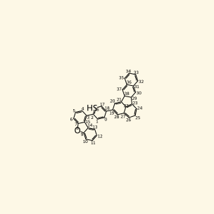 C1=CC(c2cccc3oc4ccccc4c23)=[SH]C=C1c1cc2c3c(cccc3c1)C1C=c3ccccc3=CC21